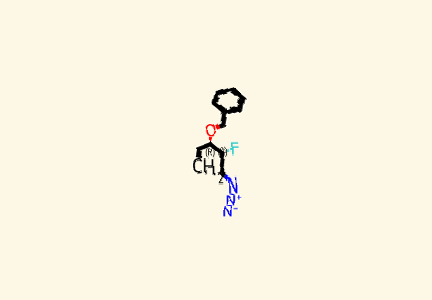 C=C[C@@H](OCc1ccccc1)[C@H](F)CN=[N+]=[N-]